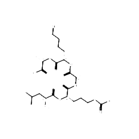 CC(C)C[C@H](N)C(=O)N[C@H](CCCNC(=N)N)C(=O)N[C@@H](C)C(=O)N[C@@H](CCCCN)C(=O)N[C@@H](C)C(=O)O